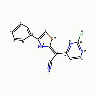 N#C/C(=C1\NC(c2ccccc2)=CS1)c1ccnc(Cl)n1